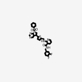 O=C(NCc1ccc(F)c(F)c1)c1cccnc1NCc1ccc(-c2cn(S(=O)(=O)c3ccccc3)c3ncncc23)s1